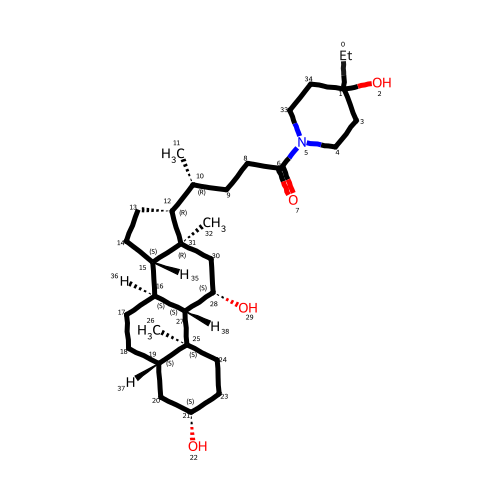 CCC1(O)CCN(C(=O)CC[C@@H](C)[C@H]2CC[C@H]3[C@@H]4CC[C@H]5C[C@@H](O)CC[C@]5(C)[C@H]4[C@@H](O)C[C@]23C)CC1